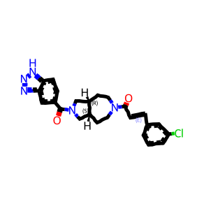 O=C(/C=C/c1cccc(Cl)c1)N1CC[C@@H]2CN(C(=O)c3ccc4[nH]nnc4c3)C[C@@H]2CC1